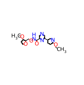 CCOc1ccc(-c2cncc(C(=O)NOCc3occc3OC)n2)cn1